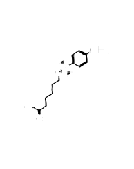 Cc1ccc(S(=O)(=O)OCCCCCC(=O)Cl)cc1